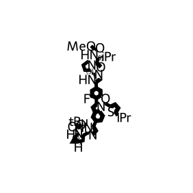 COC(=O)N[C@H](C(=O)N1CCC[C@H]1c1ncc(-c2cc(F)c3c(c2)OC(c2ccc(C(C)C)s2)n2c-3cc3cc(-c4cnc(C5C[C@@H]6C[C@@H]6N5C(=O)OC(C)(C)C)[nH]4)ccc32)[nH]1)C(C)C